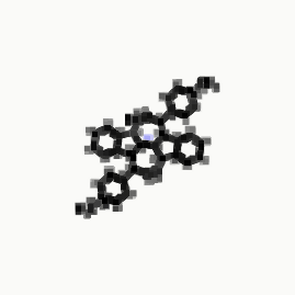 C[n+]1ccc(C(=O)N2/C(=C3\C(O)c4ccccc4N3C(=O)c3cc[n+](C)cc3)C(=O)c3ccccc32)cc1